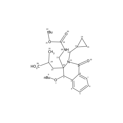 CCCCOC1c2ccccc2C(=O)N(CC2CC2)C1(CNC(=O)OC(C)(C)C)CC(C)C(=O)O